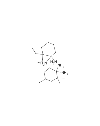 CC1CCC(N)(N)C(C)(C)C1.CCC1(CC)C[CH]CCC1(N)N